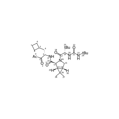 CC(=O)C(=O)[C@H](CC1CCC1)NC(=O)[C@@H]1[C@@H]2[C@H](CN1C(=O)[C@@H](NC(=O)NC(C)(C)C)C(C)(C)C)C2(C)C